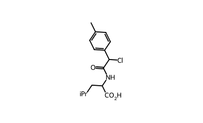 Cc1ccc(C(Cl)C(=O)NC(CC(C)C)C(=O)O)cc1